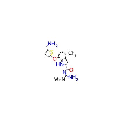 CNC(N)=NC(=O)c1cc2c(C(F)(F)F)ccc(Oc3ccc(CN)s3)c2[nH]1